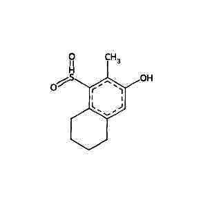 Cc1c(O)cc2c(c1[SH](=O)=O)CCCC2